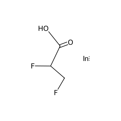 O=C(O)C(F)CF.[In]